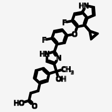 CC(O)(c1cccc(CCC(=O)O)c1)c1c[nH]c(-c2cc(Oc3c(F)cc4[nH]ccc4c3C3CC3)ccc2F)n1